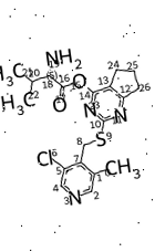 Cc1cncc(Cl)c1CSc1nc2c(c(OC(=O)[C@@H](N)C(C)C)n1)CCC2